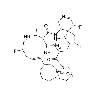 CCCCC1(N2CCC(C(=O)N3CCN4CCC3CC4)CC2)C(F)C=NCC1NC(=O)C1C(C)NCC(F)C/C=C(/C2CCCCCC2)NC1N